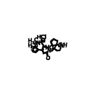 CN(C)C(=O)c1cn(CC2(O)CCNCC23CCCC3)c(=O)cc1-c1ccsc1.Cl